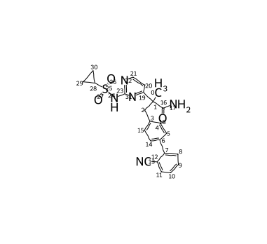 CC(Cc1ccc(-c2ccccc2C#N)cc1)(C(N)=O)c1ccnc(NS(=O)(=O)C2CC2)n1